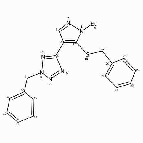 CCn1ncc(-c2nnn(Cc3ccccc3)n2)c1SCc1ccccc1